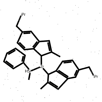 CC1=Cc2cc(CC(C)C)ccc2[CH]1[Zr]([CH]1C(C)=Cc2cc(CC(C)C)ccc21)[SiH](C)c1ccccc1